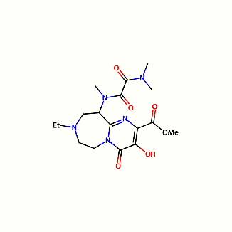 CCN1CCn2c(nc(C(=O)OC)c(O)c2=O)C(N(C)C(=O)C(=O)N(C)C)C1